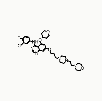 Fc1ccc(Nc2ncnc3cc(OCCCN4CCN(CCN5CCOCC5)CC4)cc(OC4CCOCC4)c23)cc1Cl